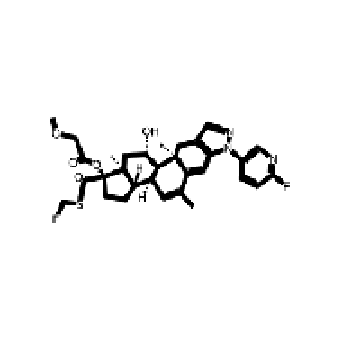 COCC(=O)O[C@]1(C(=O)SCF)CC[C@H]2[C@@H]3C=C(C)C4=Cc5c(cnn5-c5ccc(F)nc5)C[C@]4(C)C3[C@@H](O)C[C@@]21C